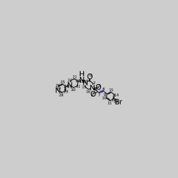 O=C1CN(S(=O)(=O)/C=C/c2ccc(Br)cc2)CCN1NC1CCN(c2ccncc2)CC1